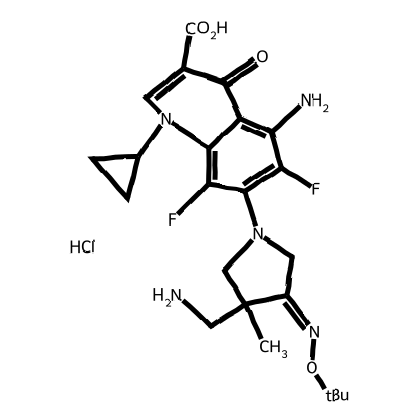 CC(C)(C)ON=C1CN(c2c(F)c(N)c3c(=O)c(C(=O)O)cn(C4CC4)c3c2F)CC1(C)CN.Cl